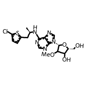 COC1C(O)[C@@H](CO)O[C@H]1n1cnc2c(N[C@H](C)Cc3ccc(Cl)s3)ncnc21